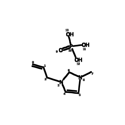 C=CCN1C=CN(C)C1.O=P(O)(O)O